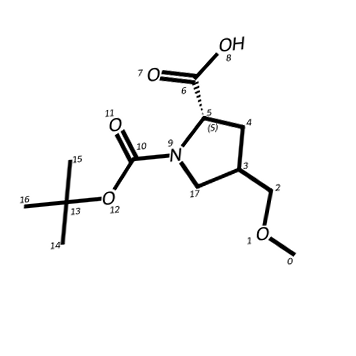 COCC1C[C@@H](C(=O)O)N(C(=O)OC(C)(C)C)C1